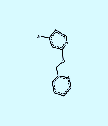 Brc1ccnc(OCc2ccccn2)c1